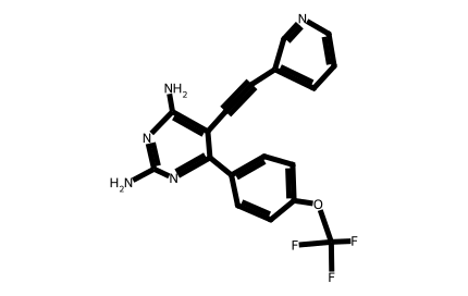 Nc1nc(N)c(C#Cc2cccnc2)c(-c2ccc(OC(F)(F)F)cc2)n1